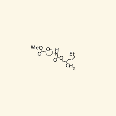 CC/C=C\CC(C)COC(=O)N[C@@H]1CC[C@@H](C(=O)OC)OC1